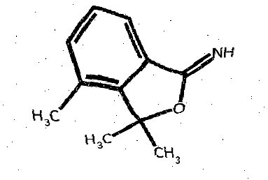 Cc1cccc2c1C(C)(C)OC2=N